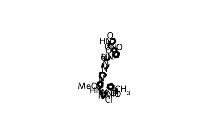 COc1cc(N2CCC(N3CCN(C(=O)CNc4cccc5c4C(=O)N(C4CCC(=O)NC4=O)C5=O)CC3)CC2)ccc1Nc1ncc(Cl)c(Nc2ccccc2P(C)(C)=O)n1